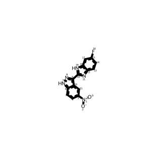 O=[N+]([O-])c1ccc2[nH]nc(-c3nc4ccc(F)cc4[nH]3)c2c1